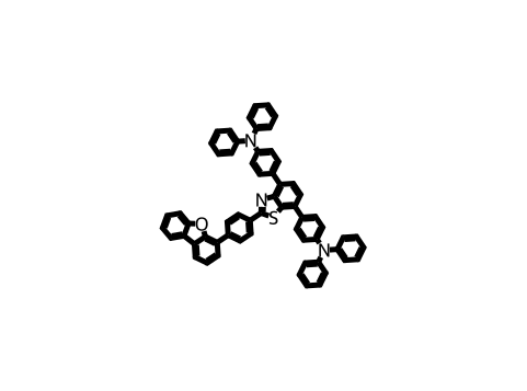 c1ccc(N(c2ccccc2)c2ccc(-c3ccc(-c4ccc(N(c5ccccc5)c5ccccc5)cc4)c4sc(-c5ccc(-c6cccc7c6oc6ccccc67)cc5)nc34)cc2)cc1